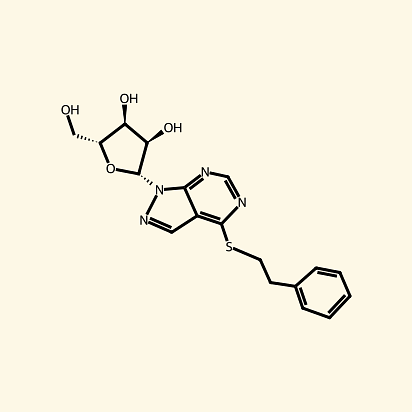 OC[C@H]1O[C@@H](n2ncc3c(SCCc4ccccc4)ncnc32)[C@H](O)[C@@H]1O